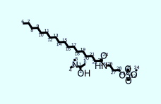 CC(O)N(C)C.CCCCCCCCCCCCCCCCCC(=O)NCCCOS(=O)(=O)OC